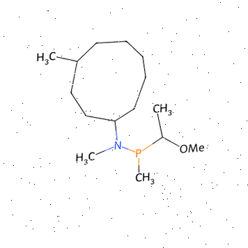 COC(C)P(C)N(C)C1CCCCCC(C)CC1